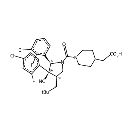 CC(C)(C)C[C@@H]1CN(C(=O)N2CCC(CC(=O)O)CC2)[C@H](c2cccc(Cl)c2F)[C@@]1(C#N)c1ccc(Cl)cc1F